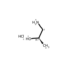 C[C@@H](O)CN.Cl